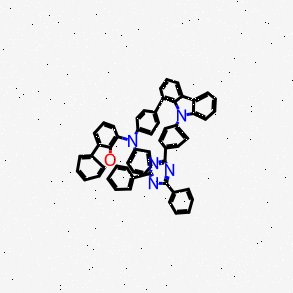 c1ccc(-c2nc(-c3ccccc3)nc(-c3ccc(-n4c5ccccc5c5cccc(-c6ccc(N(c7ccccc7)c7cccc8c7oc7ccccc78)cc6)c54)cc3)n2)cc1